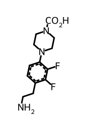 NCCc1ccc(N2CCN(C(=O)O)CC2)c(F)c1F